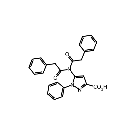 O=C(O)c1cc(N(C(=O)Cc2ccccc2)C(=O)Cc2ccccc2)n(-c2ccccc2)n1